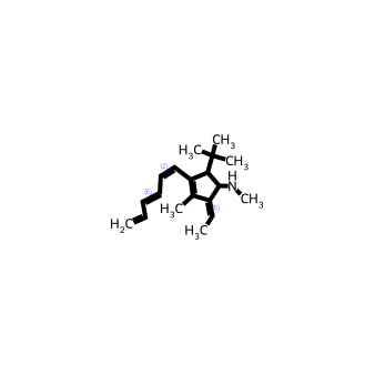 C=C/C=C/C=C\C1=C(C)C(=C\C)/C(NC)C1C(C)(C)C